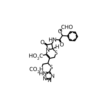 O=COC(C(=O)NC1C(=O)N2C(C(=O)O)=C(C(CC(=O)O)Sc3nnn[nH]3)CS[C@@H]12)c1ccccc1